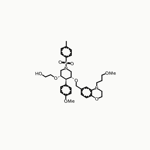 COCCCN1CCOc2ccc(CO[C@H]3CN(S(=O)(=O)c4ccc(C)cc4)C[C@@H](OCCO)[C@@H]3c3ccc(OC)cc3)cc21